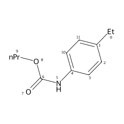 [CH2]Cc1ccc(NC(=O)OCCC)cc1